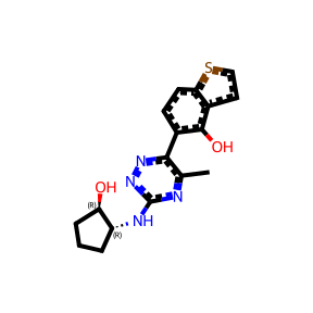 Cc1nc(N[C@@H]2CCC[C@H]2O)nnc1-c1ccc2sccc2c1O